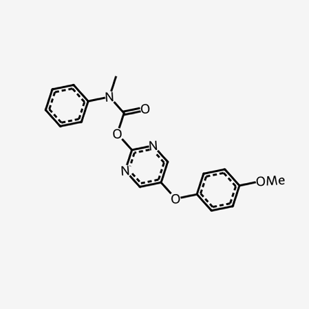 COc1ccc(Oc2cnc(OC(=O)N(C)c3ccccc3)nc2)cc1